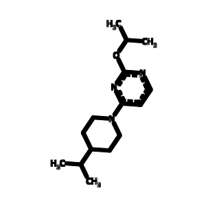 CC(C)Oc1nccc(N2CCC(C(C)C)CC2)n1